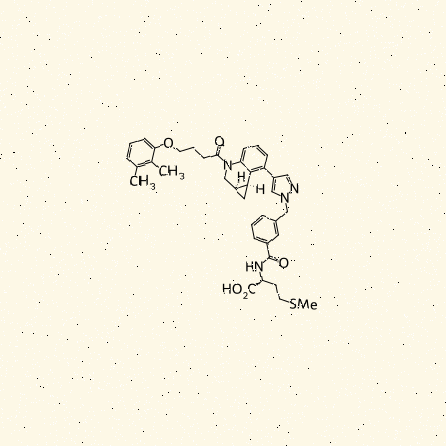 CSCC[C@H](NC(=O)c1cccc(Cn2cc(-c3cccc4c3[C@H]3C[C@H]3CN4C(=O)CCCOc3cccc(C)c3C)cn2)c1)C(=O)O